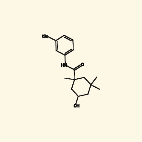 CC1(C)CC(O)CC(C)(C(=O)Nc2cccc(C(C)(C)C)c2)C1